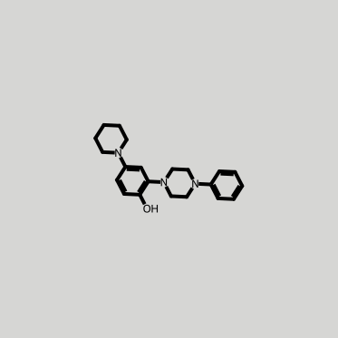 Oc1ccc(N2CCCCC2)cc1N1CCN(c2ccccc2)CC1